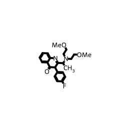 COCCN(CCOC)C(C)C1=Nc2ccccc2C(=O)C1c1ccc(F)cc1